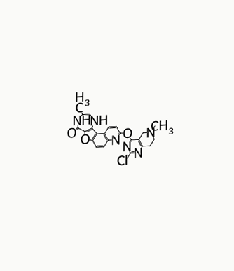 CC1CNc2c(oc3ccc4nc(Oc5nc(Cl)nc6c5CN(C)CC6)ccc4c23)C(=O)N1